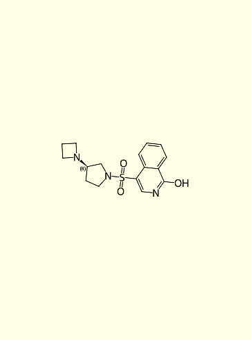 O=S(=O)(c1cnc(O)c2ccccc12)N1CC[C@@H](N2CCC2)C1